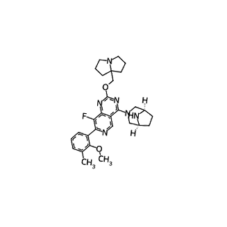 COc1c(C)cccc1-c1ncc2c(N3C[C@H]4CC[C@@H](C3)N4)nc(OCC34CCCN3CCC4)nc2c1F